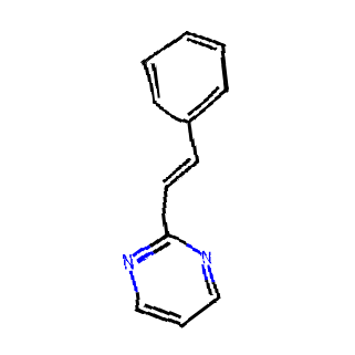 C(=Cc1ncccn1)c1ccccc1